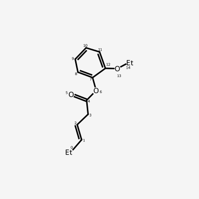 CCC=CCC(=O)Oc1ccccc1OCC